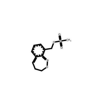 CS(=O)(=O)OCc1cccc2c1=NOCCC=2